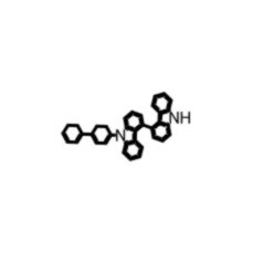 C1=CCCC(C2=CC=C(n3c4ccccc4c4c(-c5cccc6[nH]c7ccccc7c56)cccc43)CC2)=C1